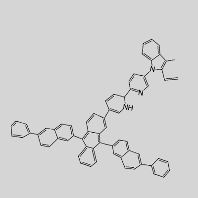 C=Cc1c(C)c2ccccc2n1-c1ccc(C2C=CC(c3ccc4c(-c5ccc6cc(-c7ccccc7)ccc6c5)c5ccccc5c(-c5ccc6cc(-c7ccccc7)ccc6c5)c4c3)=CN2)nc1